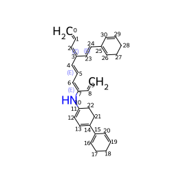 C=C/C=C(/C=C/C=C(\C=C)NC1=CC=C(C2=CCCC=C2)CC1)\C=C\C1=CCCC=C1